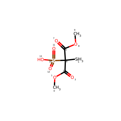 COC(=O)C([SiH3])(C(=O)OC)S(=O)(=O)O